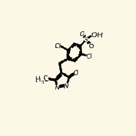 CC1=C(Cc2cc(Cl)c(S(=O)(=O)O)cc2Cl)C(=O)N=N1